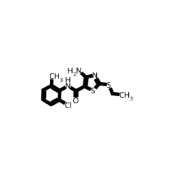 CCSc1nc(N)c(C(=O)Nc2c(C)cccc2Cl)s1